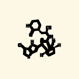 N#C[C@H](C[C@H]1CCCNC1=O)NC(=O)[C@@H]1[C@H]2CC[C@H](CC2(F)F)N1C(=O)c1cc2scc(Cl)c2[nH]1